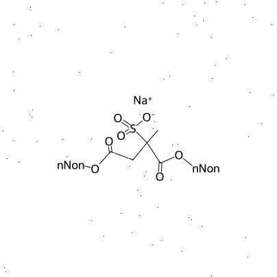 CCCCCCCCCOC(=O)CC(C)(C(=O)OCCCCCCCCC)S(=O)(=O)[O-].[Na+]